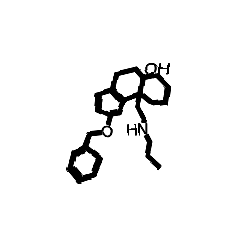 CCCNCCC12CCCCC1(O)CCc1ccc(OCc3ccccc3)cc12